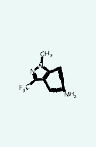 Cn1nc(C(F)(F)F)c2cc(N)ccc21